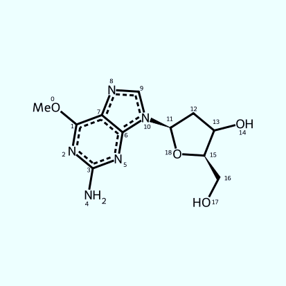 COc1nc(N)nc2c1ncn2[C@H]1CC(O)[C@@H](CO)O1